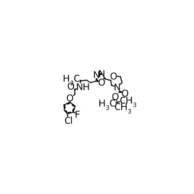 C=C(CCc1nnc(C2CN(C(=O)OC(C)(C)C)CCO2)o1)NC(=O)COc1ccc(Cl)c(F)c1